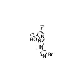 OC1(c2cc(C3CC3)cn3cc(CNc4ccnc(Br)c4)nc23)CCC1